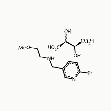 COCCNCc1ccc(Br)nc1.O=C(O)[C@@H](O)[C@H](O)C(=O)O